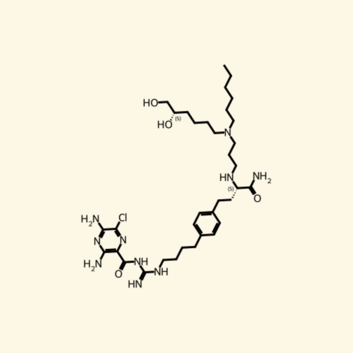 CCCCCCN(CCCC[C@H](O)CO)CCCN[C@@H](CCc1ccc(CCCCNC(=N)NC(=O)c2nc(Cl)c(N)nc2N)cc1)C(N)=O